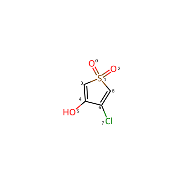 O=S1(=O)C=C(O)C(Cl)=C1